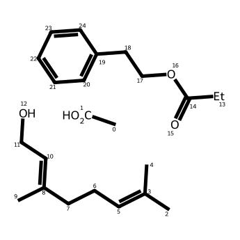 CC(=O)O.CC(C)=CCCC(C)=CCO.CCC(=O)OCCc1ccccc1